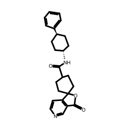 O=C1OC2(CCC(C(=O)N[C@H]3CC[C@H](c4ccccc4)CC3)CC2)c2ccncc21